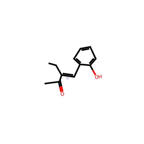 CC/C(=C\c1ccccc1O)C(C)=O